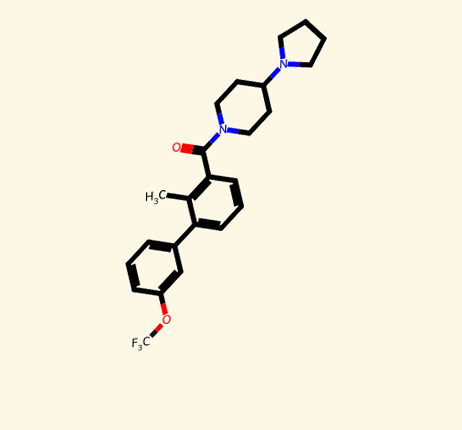 Cc1c(C(=O)N2CCC(N3CCCC3)CC2)cccc1-c1cccc(OC(F)(F)F)c1